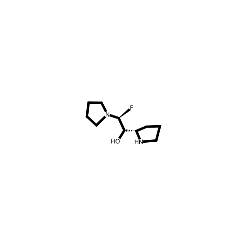 OC([C@@H]1CCCN1)[C@H](F)N1CCCC1